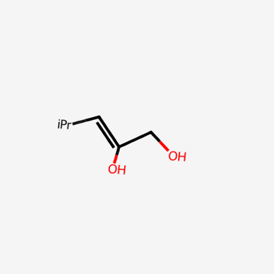 CC(C)C=C(O)CO